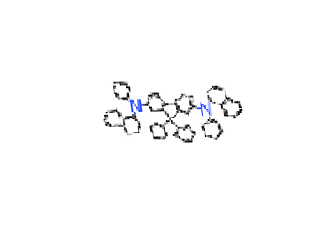 C1=Cc2ccccc2C(N(c2ccccc2)c2ccc3c(c2)C(c2ccccc2)(c2ccccc2)c2cc(N(c4ccccc4)c4cccc5ccccc45)ccc2-3)C1